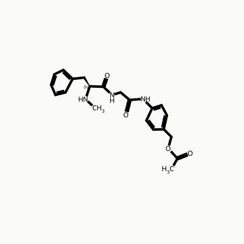 CN[C@@H](Cc1ccccc1)C(=O)NCC(=O)Nc1ccc(COC(C)=O)cc1